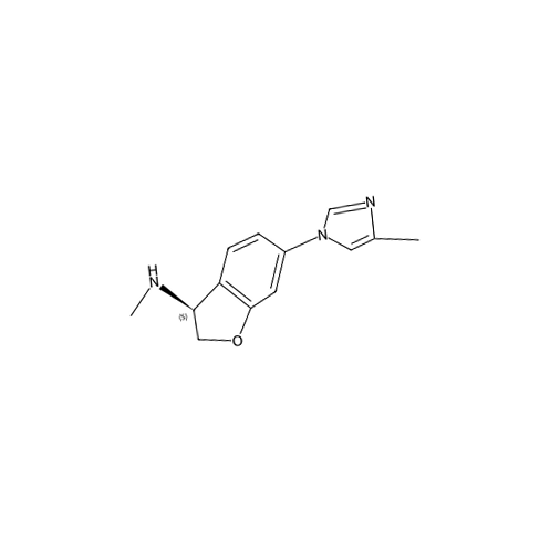 CN[C@@H]1COc2cc(-n3cnc(C)c3)ccc21